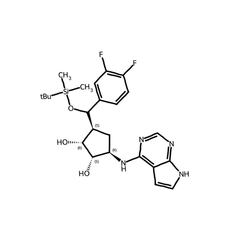 CC(C)(C)[Si](C)(C)OC(c1ccc(F)c(F)c1)[C@H]1C[C@@H](Nc2ncnc3[nH]ccc23)[C@H](O)[C@@H]1O